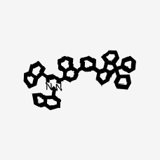 c1ccc(C2(c3ccccc3)c3ccccc3-c3c(-c4cccc(-c5ccc(-c6cc(-c7cccc8ccccc78)nc(-c7cccc8ccccc78)n6)c6ccccc56)c4)cccc32)cc1